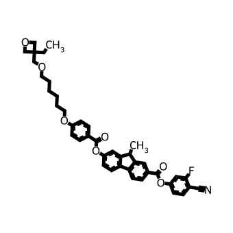 CCC1(COCCCCCCOc2ccc(C(=O)Oc3ccc4c(c3)C(C)c3cc(C(=O)Oc5ccc(C#N)c(F)c5)ccc3-4)cc2)COC1